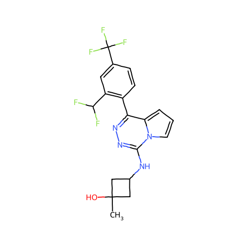 CC1(O)CC(Nc2nnc(-c3ccc(C(F)(F)F)cc3C(F)F)c3cccn23)C1